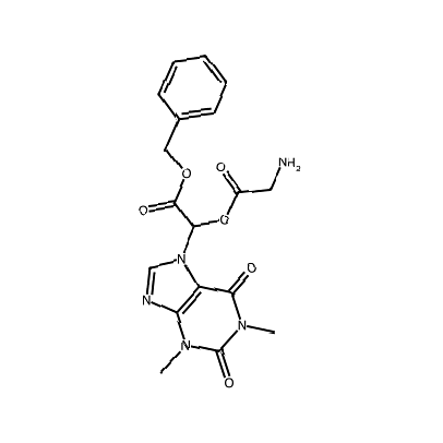 Cn1c(=O)c2c(ncn2C(OC(=O)CN)C(=O)OCc2ccccc2)n(C)c1=O